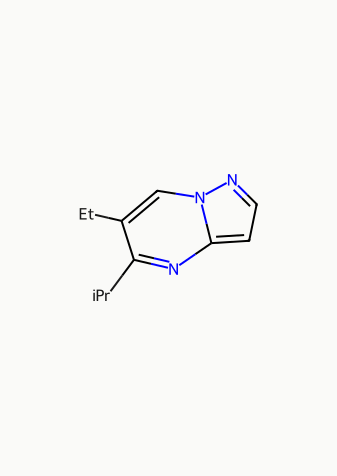 CCc1cn2nccc2nc1C(C)C